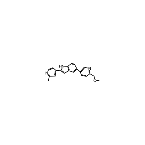 COCc1ccc(-c2ccc3[nH]c(-c4ccnc(C)c4)cc3c2)cn1